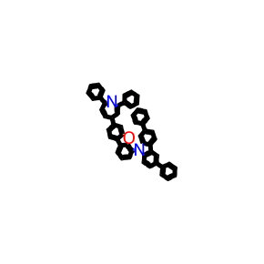 C1=CC(c2ccc3c(c2)oc2c(-n4c5ccc(-c6ccccc6)cc5c5ccc(-c6ccccc6)cc54)cccc23)C=C(c2ccccc2)N=C1c1ccccc1